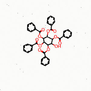 O=C(OC1C(O)C(OC(=O)c2ccccc2)C(OC(=O)c2ccccc2)C(OC(=O)c2ccccc2)C1OC(=O)c1ccccc1)c1ccccc1